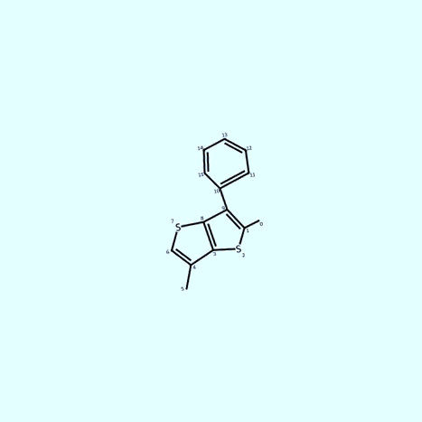 Cc1sc2c(C)csc2c1-c1ccccc1